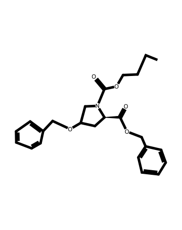 CCCCOC(=O)N1CC(OCc2ccccc2)C[C@@H]1C(=O)OCc1ccccc1